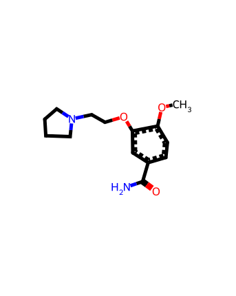 COc1ccc(C(N)=O)cc1OCCN1CCCC1